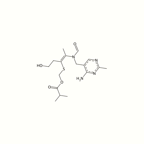 CC(=C(CCO)SCOC(=O)C(C)C)N(C=O)Cc1cnc(C)nc1N